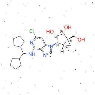 OC[C@@]12C[C@@H]1[C@@H](n1cnc3c(NC(C4CCCC4)C4CCCC4)nc(Cl)cc31)[C@H](O)[C@@H]2O